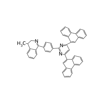 CC1CN=C(c2ccc(-c3nc(-c4cc5ccccc5c5ccccc45)cc(-c4cc5ccccc5c5ccccc45)n3)cc2)c2ccccc21